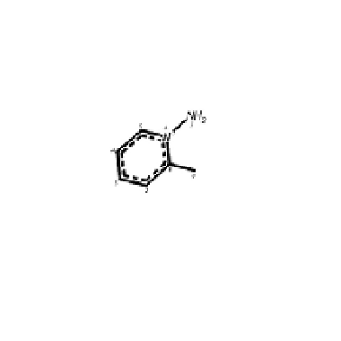 Cc1cccc[n+]1N